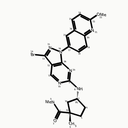 CNC(=O)[C@@]1(C)CC[C@@H](Nc2ncc3c(Br)nn(-c4ccc5nc(OC)ccc5c4)c3n2)C1